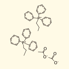 CC(=O)[O-].CC(=O)[O-].CCC[P+](c1ccccc1)(c1ccccc1)c1ccccc1.CCC[P+](c1ccccc1)(c1ccccc1)c1ccccc1